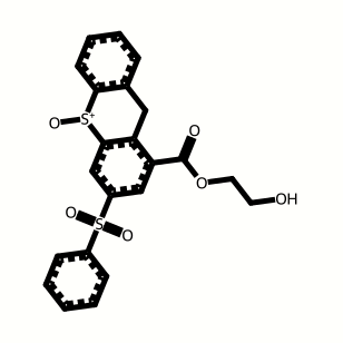 O=C(OCCO)c1cc(S(=O)(=O)c2ccccc2)cc2c1Cc1ccccc1[S+]2[O-]